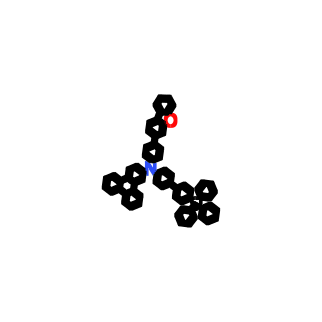 c1ccc([Si](c2ccccc2)(c2ccccc2)c2ccc(-c3ccc(N(c4ccc(-c5ccc6c(c5)oc5ccccc56)cc4)c4ccc5c6ccccc6c6ccccc6c5c4)cc3)cc2)cc1